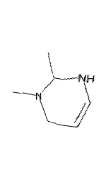 CC1NC=CCN1C